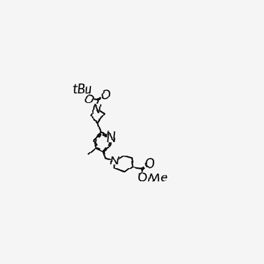 COC(=O)C1CCN(Cc2cnc(C3CN(C(=O)OC(C)(C)C)C3)cc2C)CC1